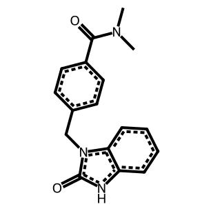 CN(C)C(=O)c1ccc(Cn2c(=O)[nH]c3ccccc32)cc1